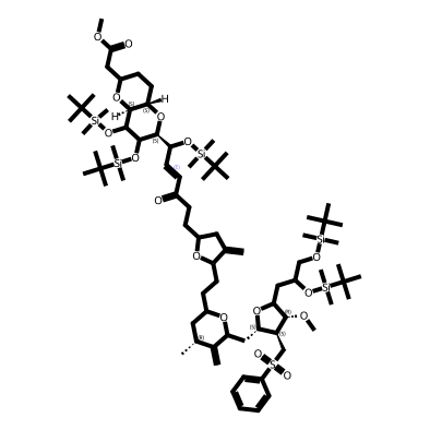 C=C1CC(CCC(=O)/C=C/C(O[Si](C)(C)C(C)(C)C)[C@@H]2O[C@H]3CCC(CC(=O)OC)O[C@@H]3C(O[Si](C)(C)C(C)(C)C)C2O[Si](C)(C)C(C)(C)C)OC1CCC1C[C@@H](C)C(=C)C(C[C@@H]2OC(CC(CO[Si](C)(C)C(C)(C)C)O[Si](C)(C)C(C)(C)C)[C@H](OC)[C@H]2CS(=O)(=O)c2ccccc2)O1